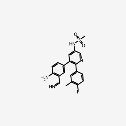 Cc1cc(-c2ncc(NS(C)(=O)=O)cc2-c2ccc(N)c(C=N)c2)ccc1F